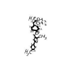 Cc1ccc(-c2cc(COc3ccc(CC(C)(C)C)cc3)c(C)o2)cc1